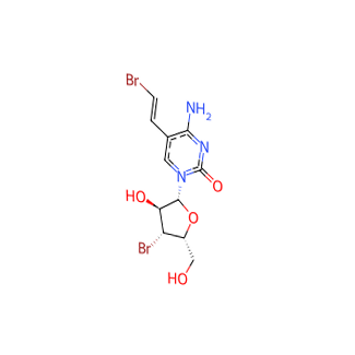 Nc1nc(=O)n([C@@H]2O[C@H](CO)[C@H](Br)[C@H]2O)cc1/C=C/Br